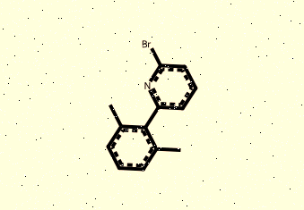 Cc1cccc(C)c1-c1cccc(Br)n1